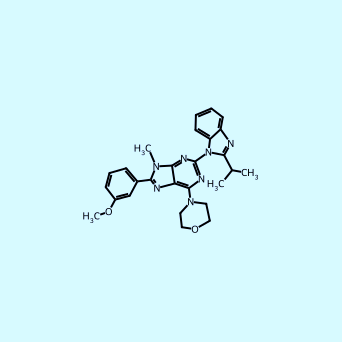 COc1cccc(-c2nc3c(N4CCOCC4)nc(-n4c(C(C)C)nc5ccccc54)nc3n2C)c1